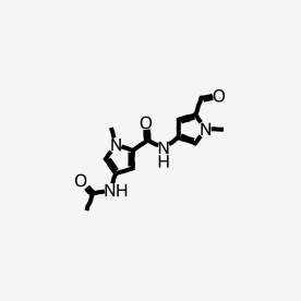 CC(=O)Nc1cc(C(=O)Nc2cc(C=O)n(C)c2)n(C)c1